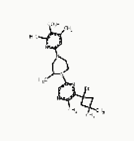 CCC1(c2nc(N3CCN(c4cc(C)c(C(=O)O)c(C)n4)CC3C)cnc2C)CC(C)(C)C1